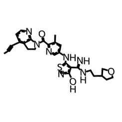 CC#Cc1ccnc2c1CCN2C(=O)c1ncc(Nc2snc(O)c2C(=N)NCCC2CCOC2)cc1C